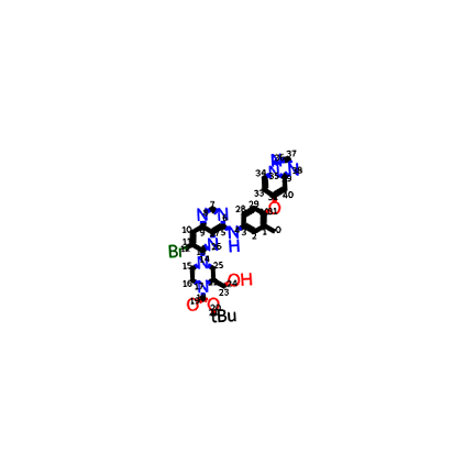 Cc1cc(Nc2ncnc3cc(Br)c(N4CCN(C(=O)OC(C)(C)C)C(CO)C4)nc23)ccc1Oc1ccn2ncnc2c1